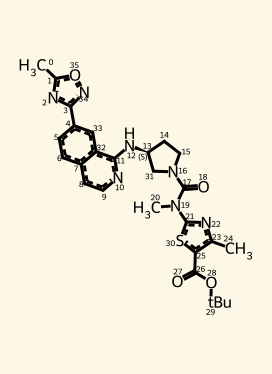 Cc1nc(-c2ccc3ccnc(N[C@H]4CCN(C(=O)N(C)c5nc(C)c(C(=O)OC(C)(C)C)s5)C4)c3c2)no1